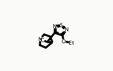 CCOc1nsnc1C1CN2CCC1CC2